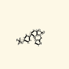 Cn1ccnc1Cn1c(=O)oc2ccc(-c3ccc(OC(F)(F)F)cc3)nc21